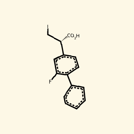 O=C(O)[C@@H](CI)c1ccc(-c2ccccc2)c(F)c1